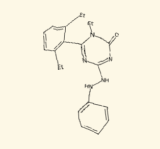 CCc1cccc(CC)c1-c1nc(NNc2ccccc2)nc(=O)n1CC